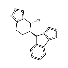 O[C@H]1c2cnnn2CC[C@@H]1C1c2ccccc2-c2cncn21